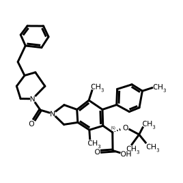 Cc1ccc(-c2c(C)c3c(c(C)c2[C@H](OC(C)(C)C)C(=O)O)CN(C(=O)N2CCC(Cc4ccccc4)CC2)C3)cc1